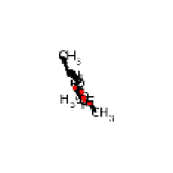 CCCCCCCCc1ccc(-c2nnc(C(=O)Oc3ccc4cc([C@H](C)C(=O)OC[C@@H](F)[C@H](F)CCCCC)ccc4c3)s2)cc1